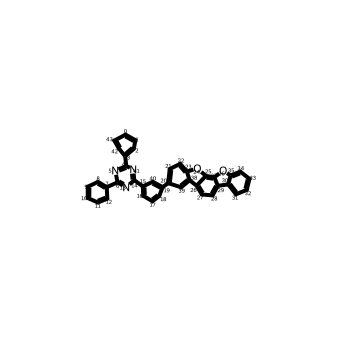 c1ccc(-c2nc(-c3ccccc3)nc(-c3cccc(-c4ccc5oc6c(ccc7c8ccccc8oc76)c5c4)c3)n2)cc1